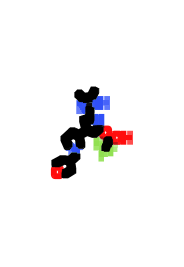 Cc1nc(-c2cc(C3=CCCN(CC4CCOCC4)C3)ccn2)[nH]c1C.O=C(O)C(F)(F)F